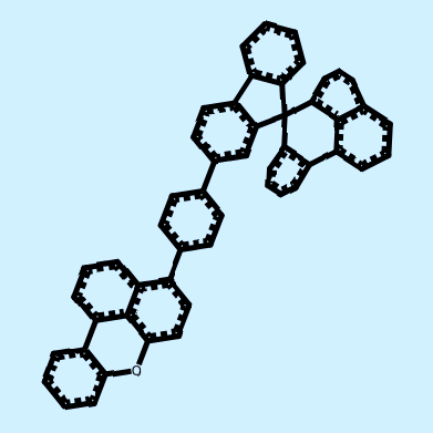 c1ccc2c(c1)Oc1ccc(-c3ccc(-c4ccc5c(c4)C4(c6ccccc6-5)c5ccccc5-c5cccc6cccc4c56)cc3)c3cccc-2c13